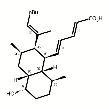 CCCC/C=C(\C)[C@H]1[C@@H](/C=C/C=C/C(=O)O)[C@H]2[C@@H](C[C@H]1C)[C@@H](O)CC[C@@H]2C